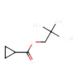 CC(C)(COC(=O)C1CC1)C(=O)O